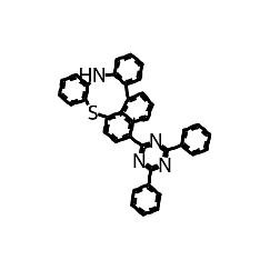 c1ccc(-c2nc(-c3ccccc3)nc(-c3ccc4c5c(cccc35)-c3ccccc3Nc3ccccc3S4)n2)cc1